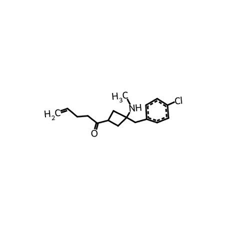 C=CCCC(=O)C1CC(Cc2ccc(Cl)cc2)(NC)C1